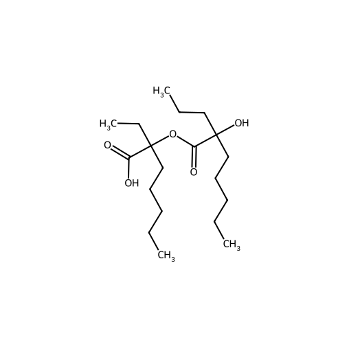 CCCCCC(O)(CCC)C(=O)OC(CC)(CCCCC)C(=O)O